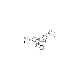 CC(C)c1ccc2nc(Nc3ccc(CN(C)C)cc3)n(-c3ccccc3)c(=O)c2c1